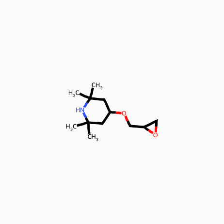 CC1(C)CC(OCC2CO2)CC(C)(C)N1